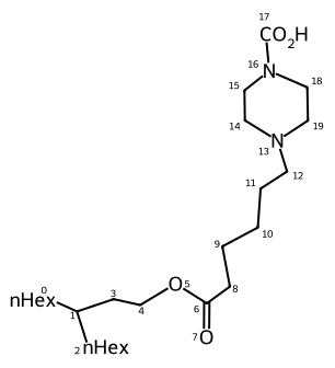 CCCCCCC(CCCCCC)CCOC(=O)CCCCCN1CCN(C(=O)O)CC1